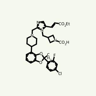 CCOC(=O)/C=C/c1cnc(CN2CCC(c3cccc4c3OC(C)(c3ccc(Cl)cc3F)O4)CC2)n1CC1CN(C(=O)O)C1